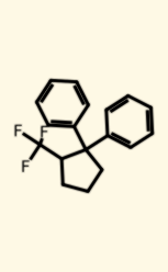 FC(F)(F)C1CCCC1(c1ccccc1)c1ccccc1